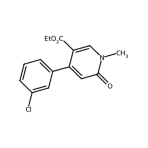 CCOC(=O)c1cn(C)c(=O)cc1-c1cccc(Cl)c1